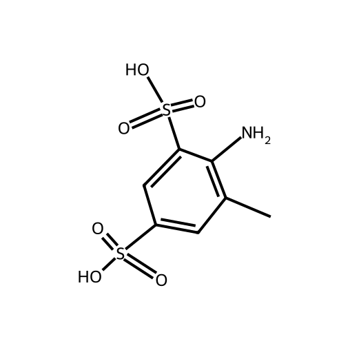 Cc1cc(S(=O)(=O)O)cc(S(=O)(=O)O)c1N